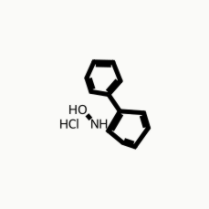 Cl.NO.c1ccc(-c2ccccc2)cc1